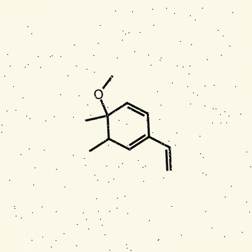 C=CC1=CC(C)C(C)(OC)C=C1